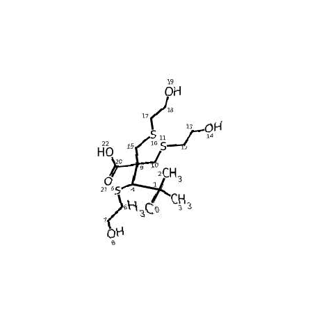 CC(C)(C)C(SCCO)C(CSCCO)(CSCCO)C(=O)O